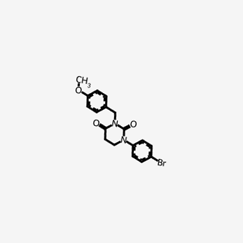 COc1ccc(CN2C(=O)CCN(c3ccc(Br)cc3)C2=O)cc1